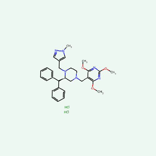 COc1nc(OC)c(CN2CCN(Cc3cnn(C)c3)[C@H](C(c3ccccc3)c3ccccc3)C2)c(OC)n1.Cl.Cl